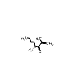 C=C(C)C(=O)N(C)CCCC